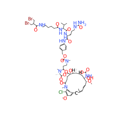 COc1cc2cc(c1Cl)N(C)C(=O)C[C@H](OC(=O)[C@H](C)N(C)C(=O)CCN(C)C(=O)OCc1ccc(NC(=O)[C@H](CCCNC(N)=O)NC(=O)[C@@H](NC(=O)CCCCCNC(=O)C(CBr)CBr)C(C)C)cc1)[C@]1(C)O[C@H]1[C@H](C)[C@@H]1C[C@@](O)(NC(=O)O1)[C@H](OC)/C=C/C=C(\C)C2